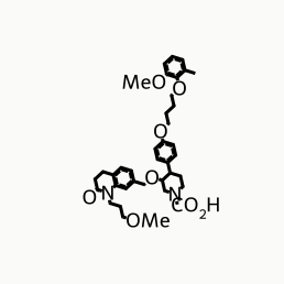 COCCCN1C(=O)CCc2ccc(COC3CN(C(=O)O)CCC3c3ccc(OCCCCOc4c(C)cccc4OC)cc3)cc21